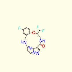 O=C1NCC(C(F)F)Oc2ccc(F)cc2CNc2ccn3ncc1c3n2